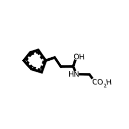 O=C(O)CNC(O)CCc1ccccc1